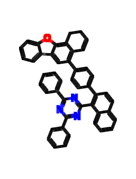 C1=Cc2c(-c3ccc(-c4ccc5ccccc5c4-c4nc(-c5ccccc5)nc(-c5ccccc5)n4)cc3)cc3c(oc4ccccc43)c2CC1